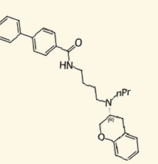 CCCN(CCCCNC(=O)c1ccc(-c2ccccc2)cc1)[C@H]1COc2ccccc2C1